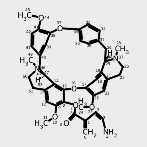 C=C(/C=C\N)C(=O)Oc1c(OC)cc2c3c1Oc1cc4c(cc1OC)CCN(C)[C@H]4Cc1ccc(cc1)Oc1cc(ccc1OC)C[C@@H]3N(C)CC2